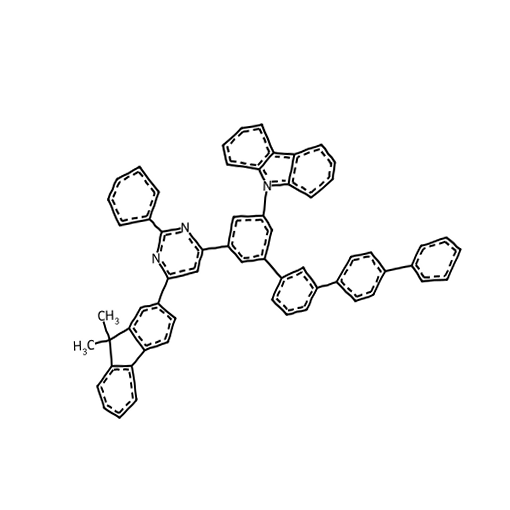 CC1(C)c2ccccc2-c2ccc(-c3cc(-c4cc(-c5cccc(-c6ccc(-c7ccccc7)cc6)c5)cc(-n5c6ccccc6c6ccccc65)c4)nc(-c4ccccc4)n3)cc21